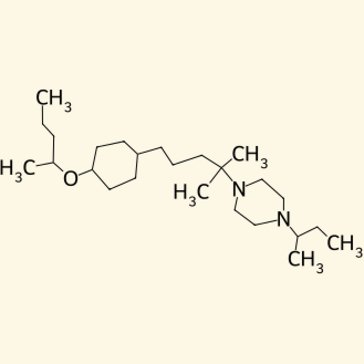 CCCC(C)OC1CCC(CCCC(C)(C)N2CCN(C(C)CC)CC2)CC1